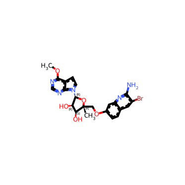 COc1ncnc2c1ccn2[C@@H]1O[C@](C)(COc2ccc3cc(Br)c(N)nc3c2)[C@@H](O)[C@H]1O